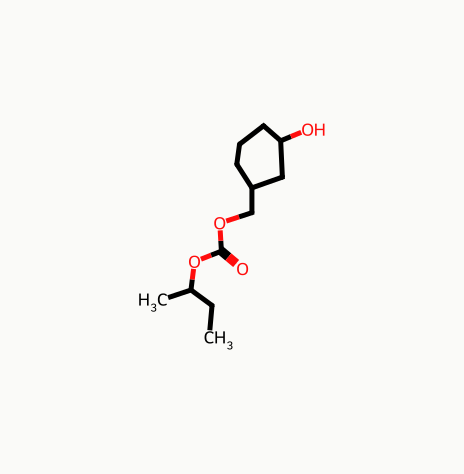 CCC(C)OC(=O)OCC1CCCC(O)C1